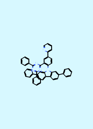 c1ccc(-c2ccc3c4ccc(-c5ccccc5)cc4n(-c4ccc(-c5ccccn5)cc4-c4nc(-c5ccccc5)nc(-c5ccccc5)n4)c3c2)cc1